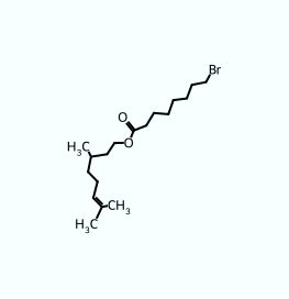 CC(C)=CCCC(C)CCOC(=O)CCCCCCCBr